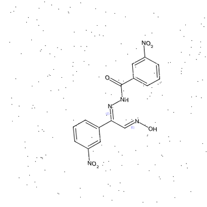 O=C(N/N=C(\C=N\O)c1cccc([N+](=O)[O-])c1)c1cccc([N+](=O)[O-])c1